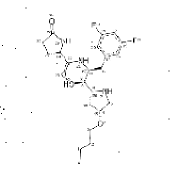 CCCCO[C@H]1CN[C@@H]([C@@H](O)[C@H](Cc2cc(F)cc(F)c2)NC(=O)C2CCC(=O)N2)C1